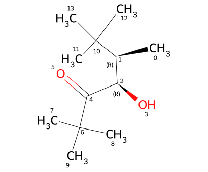 C[C@@H]([C@@H](O)C(=O)C(C)(C)C)C(C)(C)C